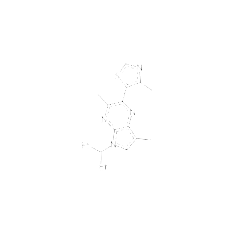 CCC(CC)n1cc(C)c2nc(-c3scnc3C)c(C)nc21